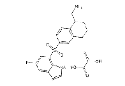 NCC1CCCc2cc(S(=O)(=O)c3cc(F)cc4nc[nH]c34)ccc21.O=C(O)C(=O)O